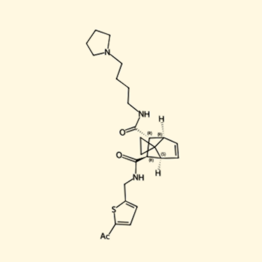 CC(=O)c1ccc(CNC(=O)[C@H]2[C@H](C(=O)NCCCCN3CCCC3)[C@H]3C=C[C@@H]2C32CC2)s1